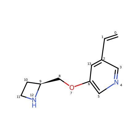 C=Cc1cncc(OC[C@@H]2CCN2)c1